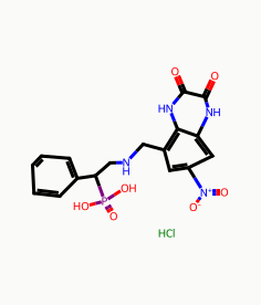 Cl.O=c1[nH]c2cc([N+](=O)[O-])cc(CNCC(c3ccccc3)P(=O)(O)O)c2[nH]c1=O